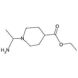 CCOC(=O)C1CCN(C(C)N)CC1